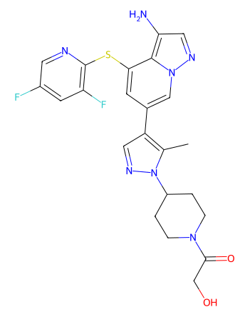 Cc1c(-c2cc(Sc3ncc(F)cc3F)c3c(N)cnn3c2)cnn1C1CCN(C(=O)CO)CC1